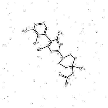 Cc1cccc(-c2c(C#N)cc(N3CCC(C)(OC(N)=O)CC3)nc2C)c1Cl